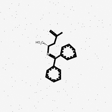 C=C(C)C[C@H](N=C(c1ccccc1)c1ccccc1)C(=O)O